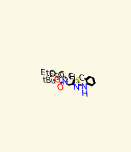 CCOC(=O)CN(Cc1nc(Nc2ccccc2C)sc1C(=O)OCC)C(=O)OC(C)(C)C